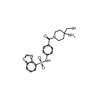 CC(C)CC1(N)CCN(C(=O)c2ccc(NS(=O)(=O)c3cccc4scnc34)cc2)CC1